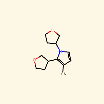 N#Cc1ccn(C2CCOC2)c1C1CCOC1